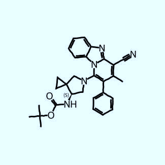 Cc1c(-c2ccccc2)c(N2C[C@@H](NC(=O)OC(C)(C)C)C3(CC3)C2)n2c(nc3ccccc32)c1C#N